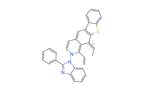 C=CC1=c2c(cc3c(sc4ccccc43)/c2=C/C)C=CN1n1c(-c2ccccc2)nc2ccccc21